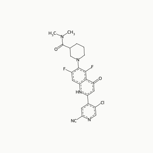 CN(C)C(=O)C1CCCN(c2c(F)cc3[nH]c(-c4cc(C#N)ncc4Cl)cc(=O)c3c2F)C1